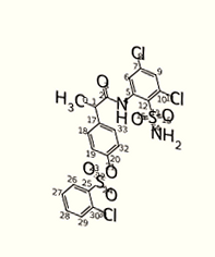 CC(C(=O)Nc1cc(Cl)cc(Cl)c1S(N)(=O)=O)c1ccc(OS(=O)(=O)c2ccccc2Cl)cc1